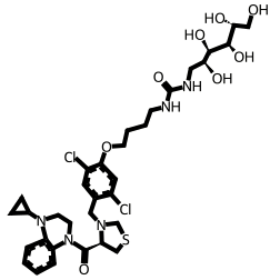 O=C(NCCCCOc1cc(Cl)c(CN2CSC[C@H]2C(=O)N2CCN(C3CC3)c3ccccc32)cc1Cl)NC[C@H](O)[C@@H](O)[C@H](O)[C@H](O)CO